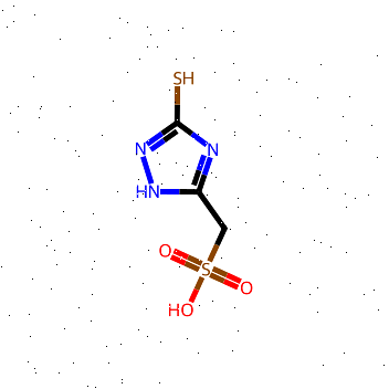 O=S(=O)(O)Cc1nc(S)n[nH]1